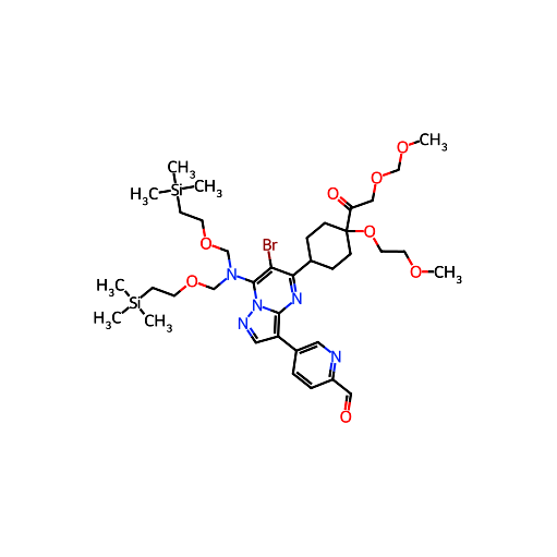 COCCOC1(C(=O)COCOC)CCC(c2nc3c(-c4ccc(C=O)nc4)cnn3c(N(COCC[Si](C)(C)C)COCC[Si](C)(C)C)c2Br)CC1